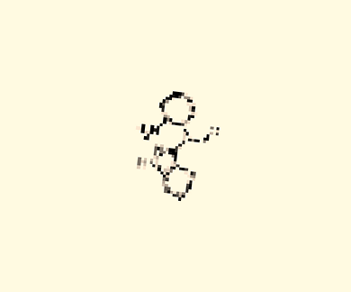 Nc1ccccc1N(C=O)c1n[nH]c2ccccc12